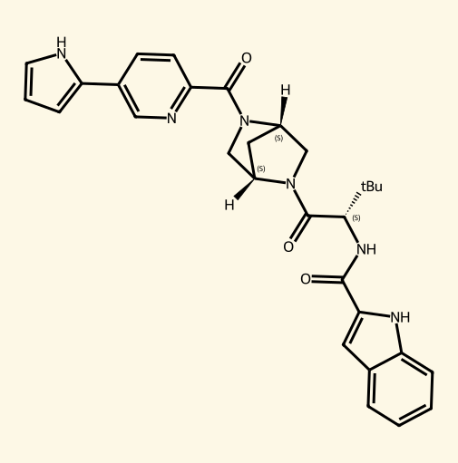 CC(C)(C)[C@H](NC(=O)c1cc2ccccc2[nH]1)C(=O)N1C[C@@H]2C[C@H]1CN2C(=O)c1ccc(-c2ccc[nH]2)cn1